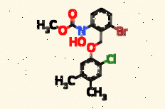 COC(=O)N(O)c1cccc(Br)c1COc1cc(C)c(C)cc1Cl